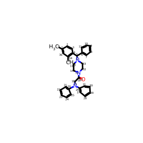 Cc1ccc(C(c2ccccc2)N2CCN(C(=O)CN(c3ccccc3)c3ccccc3)CC2)c(C)c1